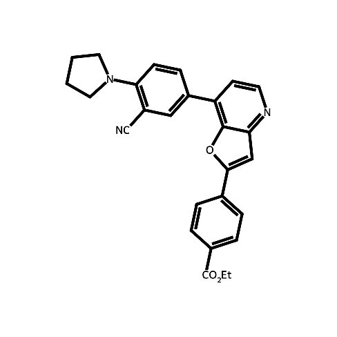 CCOC(=O)c1ccc(-c2cc3nccc(-c4ccc(N5CCCC5)c(C#N)c4)c3o2)cc1